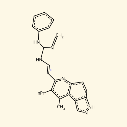 C=NC(N/C=C/c1nc2ccc3[nH]ncc3c2c(C)c1CCC)Nc1ccccc1